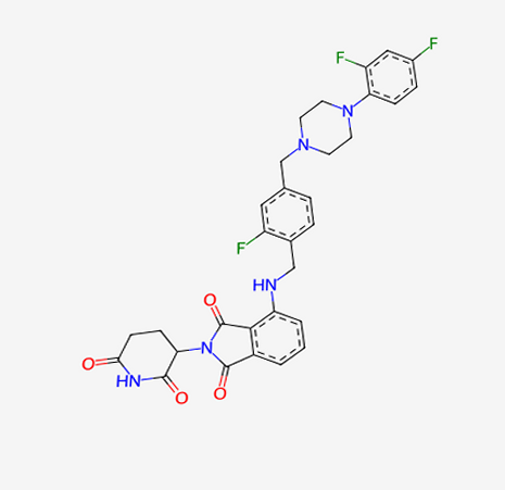 O=C1CCC(N2C(=O)c3cccc(NCc4ccc(CN5CCN(c6ccc(F)cc6F)CC5)cc4F)c3C2=O)C(=O)N1